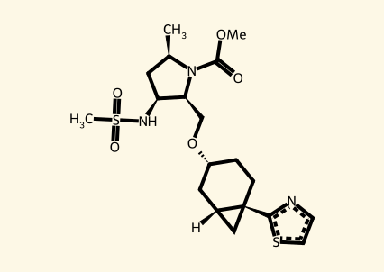 COC(=O)N1[C@H](C)C[C@H](NS(C)(=O)=O)[C@@H]1CO[C@@H]1CC[C@]2(c3nccs3)C[C@@H]2C1